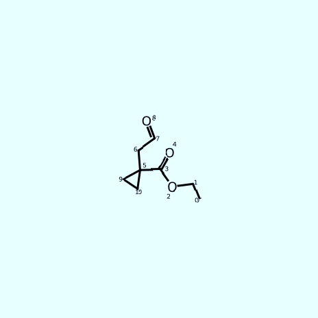 CCOC(=O)C1(CC=O)CC1